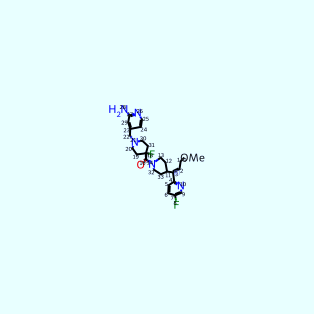 COC/C=C(/c1ccc(F)cn1)C1CCN(C(=O)C2(F)CCN(Cc3ccnc(N)c3)CC2)CC1